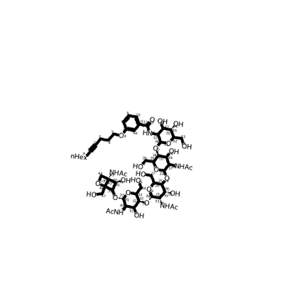 CCCCCCC#CCCCOc1cccc(C(=O)NC2C(O[C@@H]3C(CO)OC(OC4C(CO)O[C@@H](O[C@@H]5C(CO)O[C@@H](OC6[C@H](O)[C@]7(NC(C)=O)COC67CO)C(NC(C)=O)C5O)[C@@H](NC(C)=O)[C@H]4O)C(NC(C)=O)C3O)OC(CO)[C@@H](O)C2O)c1